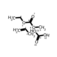 C=CC.CCOC(=O)OC.O=C(O)O